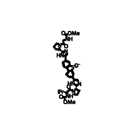 COC(=O)NCC(=O)N1CCC[C@H]1c1ncc(-c2ccc3c4ccc(-c5cnc([C@@H]6CCCN6C(=O)[C@@H](NC(=O)OC)C(C)C)[nH]5)cc4[s+]([O-])c3c2)[nH]1